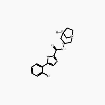 O=C(N[C@@H]1C[C@H]2CCN(C2)C1)c1ncc(-c2ccccc2Cl)o1